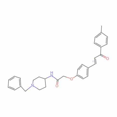 Cc1ccc(C(=O)/C=C/c2ccc(OCC(=O)NC3CCN(Cc4ccccc4)CC3)cc2)cc1